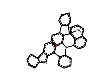 CC1(C)c2ccccc2-c2cccc(N(c3ccccc3-c3cccc4c3oc3ccccc34)c3cccc4ccccc34)c21